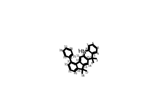 CC1(C)c2ccccc2Nc2cc3c(cc21)C(C)(C)c1cccc(-c2ccccc2)c1-3